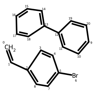 C=Cc1ccc(Br)cc1.c1ccc(-c2ccccc2)cc1